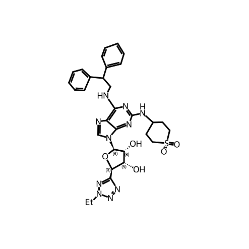 CCn1nnc([C@H]2O[C@@H](n3cnc4c(NCC(c5ccccc5)c5ccccc5)nc(NC5CCS(=O)(=O)CC5)nc43)[C@H](O)[C@@H]2O)n1